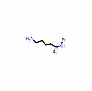 CCN[C@@H](CCCCN)C(C)=O